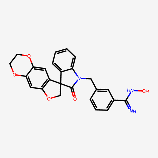 N=C(NO)c1cccc(CN2C(=O)C3(COc4cc5c(cc43)OCCO5)c3ccccc32)c1